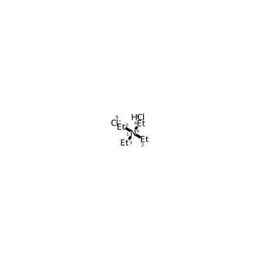 CC[N+](CC)(CC)CC.Cl.[Cl-]